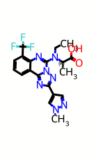 CCN(c1nc2c(C(F)(F)F)cccc2c2nc(-c3cnn(C)c3)nn12)[C@H](C)C(=O)O